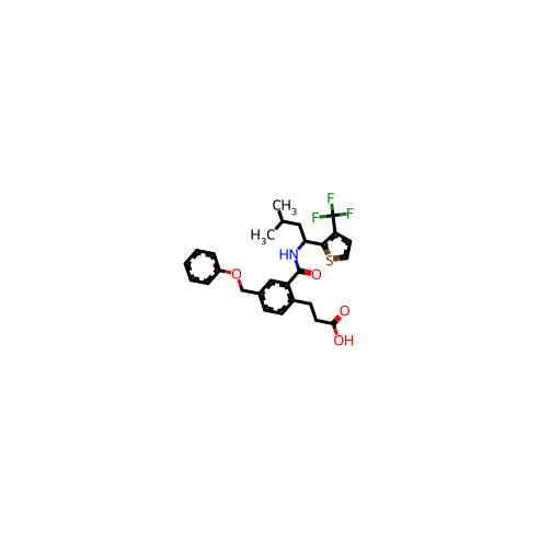 CC(C)CC(NC(=O)c1cc(COc2ccccc2)ccc1CCC(=O)O)c1sccc1C(F)(F)F